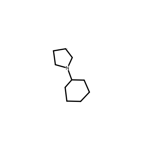 [CH]1CCN(C2CCCCC2)C1